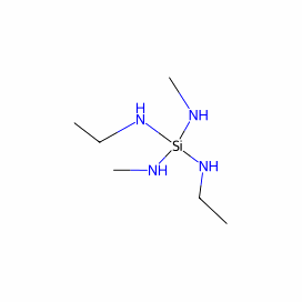 CCN[Si](NC)(NC)NCC